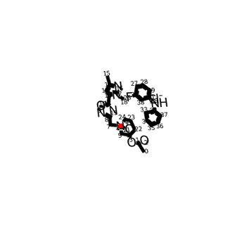 CC(=O)OC1C[N+]2(Cc3noc(-c4cc(C)nn4C)n3)CCC1CC2.Fc1cccc(Nc2ccccc2)c1.[Cl-]